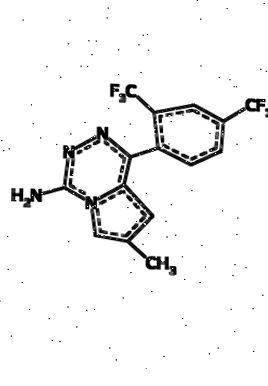 Cc1cc2c(-c3ccc(C(F)(F)F)cc3C(F)(F)F)nnc(N)n2c1